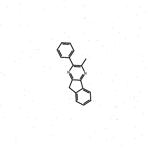 Cc1nc2c(nc1-c1ccccc1)Cc1ccccc1-2